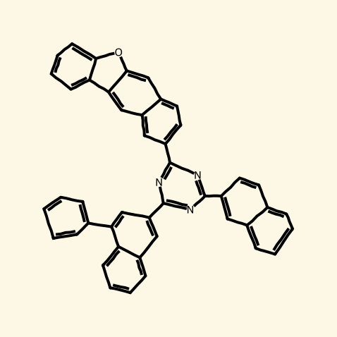 c1ccc(-c2cc(-c3nc(-c4ccc5ccccc5c4)nc(-c4ccc5cc6oc7ccccc7c6cc5c4)n3)cc3ccccc23)cc1